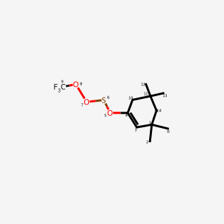 CC1(C)C=C(OSOOC(F)(F)F)CC(C)(C)C1